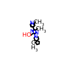 Cc1cc(-c2nc(CO)c(N3CCC4(CCC[C@H]4C)CC3)nc2C)ccn1